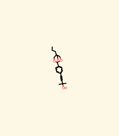 CCCC12COC(c3ccc(C#CC(C)(C)O)cc3)(OC1)OC2